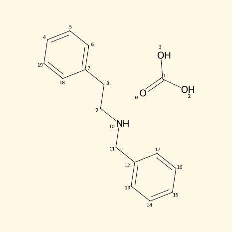 O=C(O)O.c1ccc(CCNCc2ccccc2)cc1